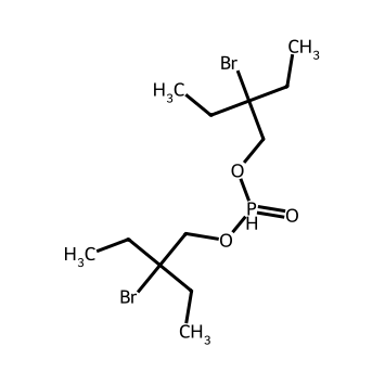 CCC(Br)(CC)CO[PH](=O)OCC(Br)(CC)CC